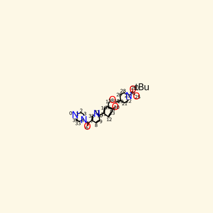 CN1CCN(C(=O)c2ccc(-c3ccc4c(c3)COC(C3CCN(C(=O)OC(C)(C)C)CC3)O4)nc2)CC1